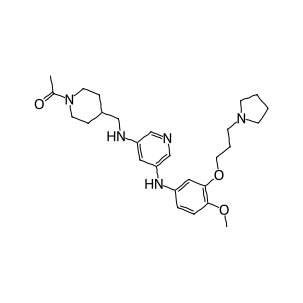 COc1ccc(Nc2cncc(NCC3CCN(C(C)=O)CC3)c2)cc1OCCCN1CCCC1